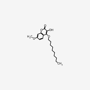 CCCCCCCCCCOc1c(O)c(=O)oc2cc(OC)ccc12